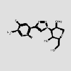 COC1COC(CO)C(O)C1n1cc(-c2cc(F)c(C)cc2F)nn1